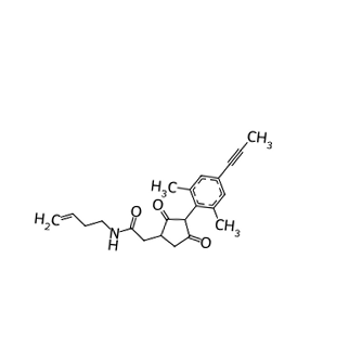 C=CCCNC(=O)CC1CC(=O)C(c2c(C)cc(C#CC)cc2C)C1=O